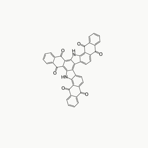 O=c1c2ccccc2c(=O)c2c1ccc1c2[nH]c2c3c(=O)c4ccccc4c(=O)c3c3[nH]c4c(ccc5c(=O)c6ccccc6c(=O)c54)c3c12